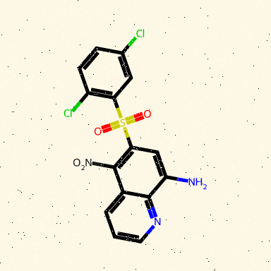 Nc1cc(S(=O)(=O)c2cc(Cl)ccc2Cl)c([N+](=O)[O-])c2cccnc12